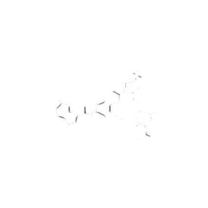 Cn1cc(C(=O)Nc2cc(F)c(CC(=O)N3C[C@@H](S(C)(=O)=O)C[C@H]3CO[C@H]3CC[C@H](C(=O)O)CC3)cc2Cl)c2ccccc21